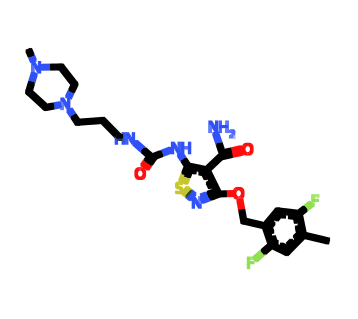 Cc1cc(F)c(COc2nsc(NC(=O)NCCCN3CCN(C)CC3)c2C(N)=O)cc1F